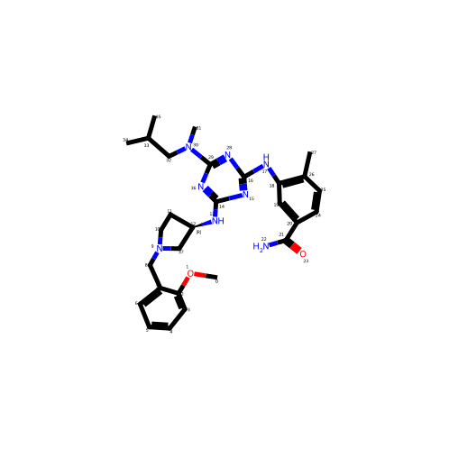 COc1ccccc1CN1CC[C@@H](Nc2nc(Nc3cc(C(N)=O)ccc3C)nc(N(C)CC(C)C)n2)C1